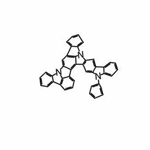 c1ccc(-n2c3ccccc3c3cc4c(cc32)c2c3c5cccc6c7ccccc7n(c3cc3c7ccccc7n4c32)c65)cc1